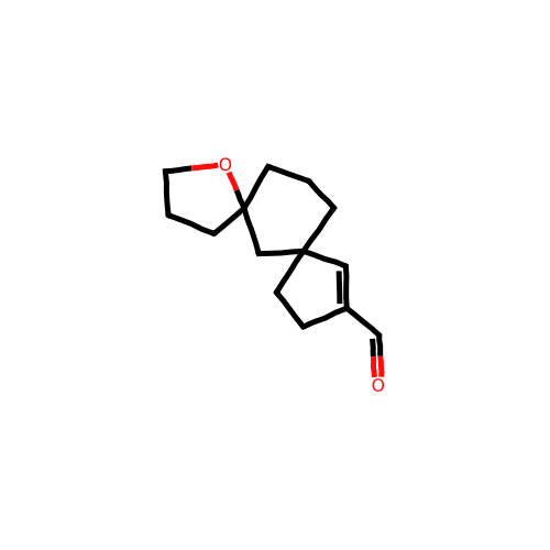 O=CC1=CC2(CCCC3(CCCO3)C2)CC1